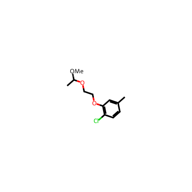 COC(C)OCCOc1cc(C)ccc1Cl